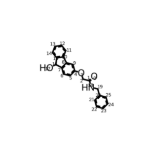 O=C(COc1ccc2c(c1)-c1ccccc1C2O)NCc1ccccc1